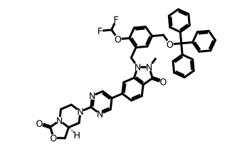 Cn1c(=O)c2ccc(-c3cnc(N4CCN5C(=O)OC[C@@H]5C4)nc3)cc2n1Cc1cc(COC(c2ccccc2)(c2ccccc2)c2ccccc2)ccc1OC(F)F